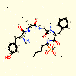 CCCCC(NC(=O)[C@H](Cc1ccccc1)NC(=O)CNC(=O)[C@@H](C)NC(=O)[C@@H](N)Cc1ccc(O)cc1)P(=O)(O)O